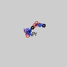 CCCn1c(=O)n(C)c(=O)c2[nH]c(-c3ccc(OCC(=O)N4CCN(c5ccccc5)CC4)cc3)cc21